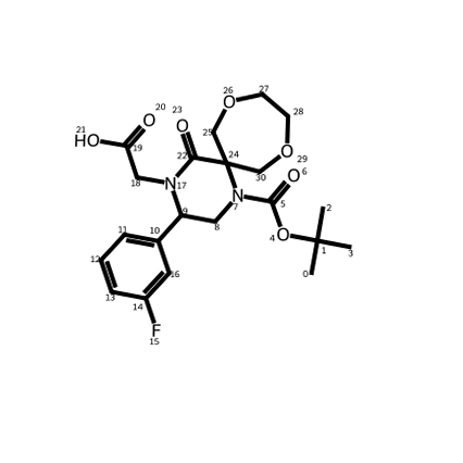 CC(C)(C)OC(=O)N1CC(c2cccc(F)c2)N(CC(=O)O)C(=O)C12COCCOC2